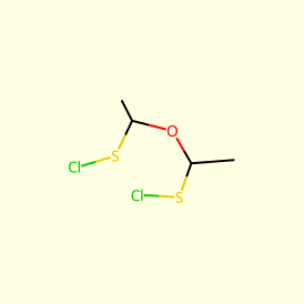 CC(OC(C)SCl)SCl